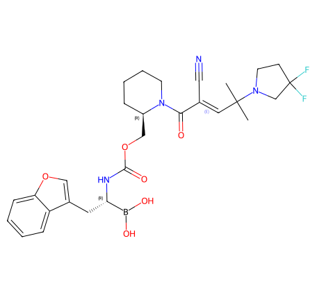 CC(C)(/C=C(\C#N)C(=O)N1CCCC[C@@H]1COC(=O)N[C@@H](Cc1coc2ccccc12)B(O)O)N1CCC(F)(F)C1